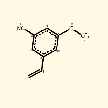 C=[C]c1cc(C#N)cc(OC(F)(F)F)c1